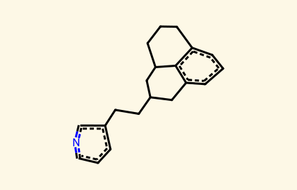 c1cncc(CCC2Cc3cccc4c3C(CCC4)C2)c1